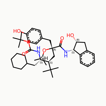 C[SiH](C)O[C@@](Cc1ccc(O)cc1)(C[C@H]([C@H](CC1CCCCC1)NC(=O)OC(C)(C)C)C(C)(C)C)C(=O)N[C@H]1c2ccccc2C[C@H]1O